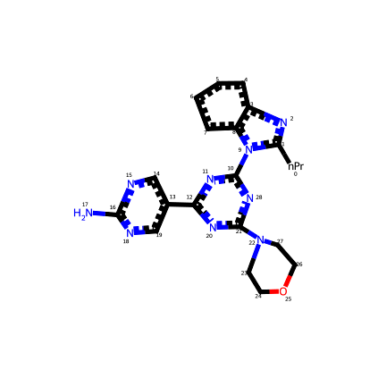 CCCc1nc2ccccc2n1-c1nc(-c2cnc(N)nc2)nc(N2CCOCC2)n1